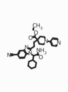 CCOC(=O)C1(CCc2nc3cc(C#N)ccc3n2C(C(N)=O)C2CCCCC2)CCN(c2ccncc2)CC1